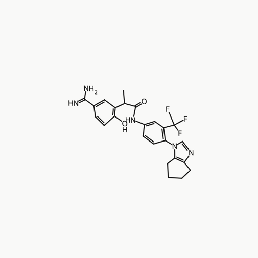 CC(C(=O)Nc1ccc(-n2cnc3c2CCCC3)c(C(F)(F)F)c1)c1cc(C(=N)N)ccc1O